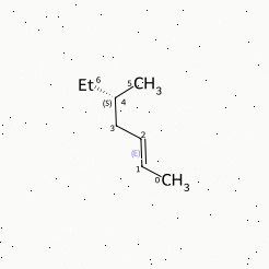 C/C=C/C[C@@H](C)CC